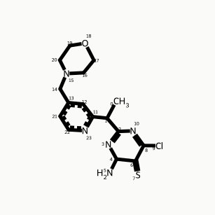 CC(C1=NC(N)C(=S)C(Cl)=N1)c1cc(CN2CCOCC2)ccn1